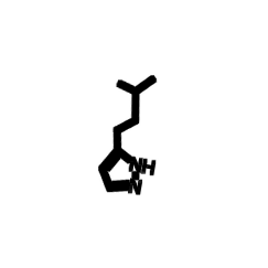 CC(C)CCc1ccn[nH]1